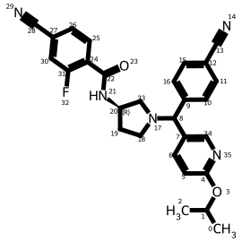 CC(C)Oc1ccc(C(c2ccc(C#N)cc2)N2CC[C@@H](NC(=O)c3ccc(C#N)cc3F)C2)cn1